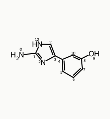 Nc1nc(-c2cccc(O)c2)c[nH]1